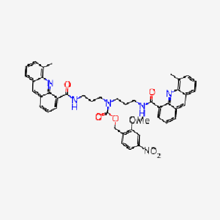 COc1cc([N+](=O)[O-])ccc1COC(=O)N(CCCNC(=O)c1cccc2cc3cccc(C)c3nc12)CCCNC(=O)c1cccc2cc3cccc(C)c3nc12